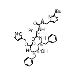 CCC(C)c1nc(CN(C)C(=O)N[C@H](C(=O)N[C@@H](Cc2ccccc2)C[C@H](O)[C@H](Cc2ccccc2)NC(=O)OCc2ccno2)C(C)C)cs1